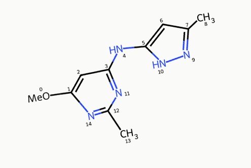 COc1cc(Nc2cc(C)n[nH]2)nc(C)n1